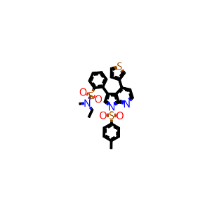 CCN(C)S(=O)(=O)c1ccccc1-c1cn(S(=O)(=O)c2ccc(C)cc2)c2nccc(-c3ccsc3)c12